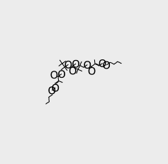 CCCCOO/C=C(\C)C(=O)OCC(C)(OC(=O)OC(C)(COC(=O)/C(C)=C/OOCCCC)C(C)(C)C)C(C)(C)C